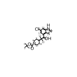 CC(C)(C)OC(=O)N1CCC(C(C)(C)[C@@H](O)c2cc(Cl)cc3[nH]ncc23)CC1